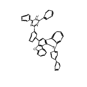 c1ccc(C2=NC(c3cccc(-c4cc5c6ccccc6n(-c6ccc(-c7ccccc7)cc6)c5c5c4oc4ccccc45)c3)=NC(c3ccccc3)N2)cc1